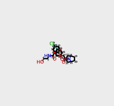 O=C(NCCO)c1cc(Cl)ccc1OCC(=O)N1C2CCC1CC(Oc1ccc(F)cc1)C2